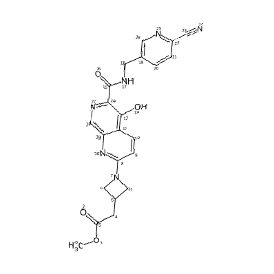 COC(=O)CC1CN(c2ccc3c(O)c(C(=O)NCc4ccc(C#N)nc4)ncc3n2)C1